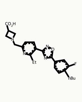 CCCCc1ccc(-c2nc(-c3ccc(CN4CC(C(=O)O)C4)nc3CC)no2)cc1F